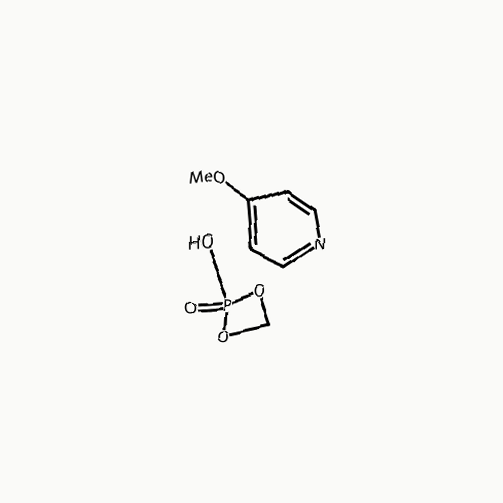 COc1ccncc1.O=P1(O)OCO1